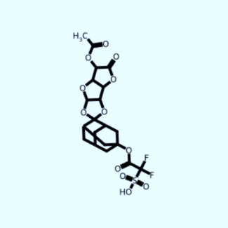 CC(=O)OC1C(=O)OC2C3OC4(OC3OC12)C1CC2CC4CC(OC(=O)C(F)(F)S(=O)(=O)O)(C2)C1